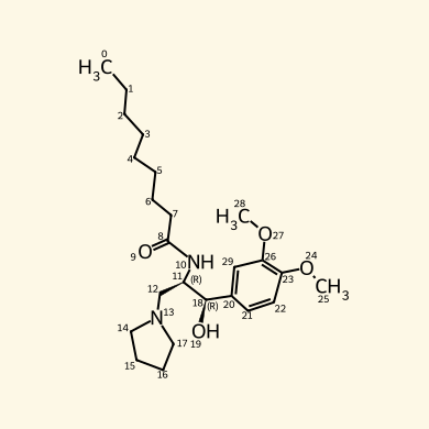 CCCCCCCCC(=O)N[C@H](CN1CCCC1)[C@H](O)c1ccc(OC)c(OC)c1